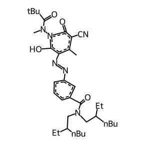 CCCCC(CC)CN(CC(CC)CCCC)C(=O)c1cccc(/N=N/c2c(C)c(C#N)c(=O)n(N(C)C(=O)C(C)(C)C)c2O)c1